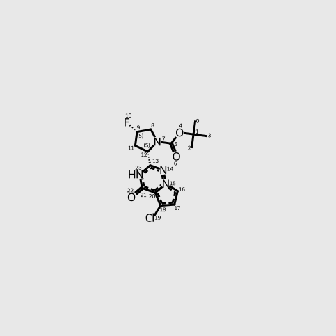 CC(C)(C)OC(=O)N1C[C@@H](F)C[C@H]1c1nn2ccc(Cl)c2c(=O)[nH]1